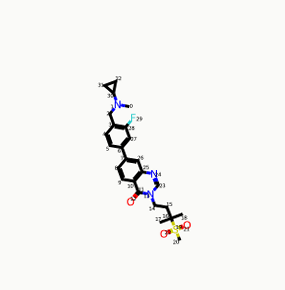 CN(Cc1ccc(-c2ccc3c(=O)n(CCC(C)(C)S(C)(=O)=O)cnc3c2)cc1F)C1CC1